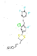 COCCCC1CSC(c2cc(F)c(CCc3cc(F)c(F)c(F)c3)c(Cl)c2)SC1